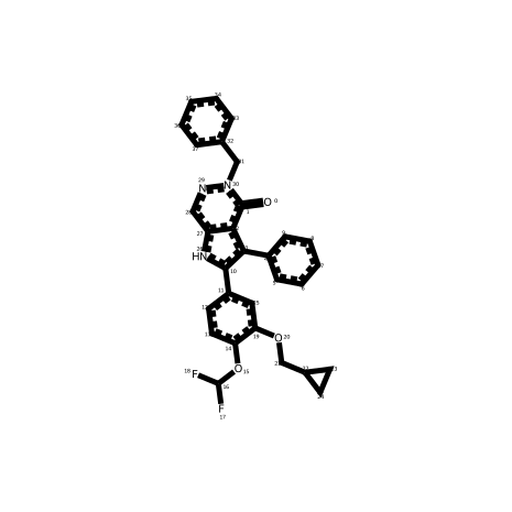 O=c1c2c(-c3ccccc3)c(-c3ccc(OC(F)F)c(OCC4CC4)c3)[nH]c2cnn1Cc1ccccc1